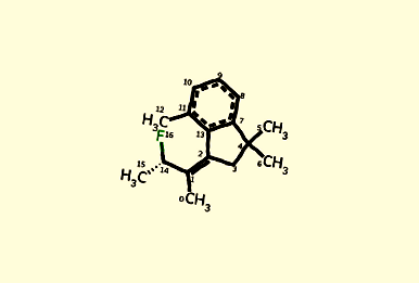 CC(=C1CC(C)(C)c2cccc(C)c21)[C@H](C)F